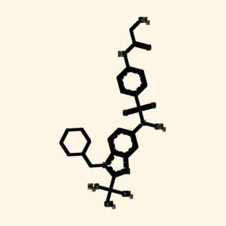 CCC(=O)Nc1ccc(S(=O)(=O)N(C)c2ccc3c(c2)nc(C(C)(C)C)n3CC2CCCCC2)cc1